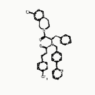 O=C(C(Cc1ccccc1)N(Cc1ccc(-c2ccccn2)cc1)C(=O)C=Cc1ccc(C(F)(F)F)cc1)N1CCc2ccc(Cl)cc2C1